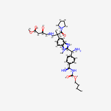 CCCCOC(=O)NC(=N)c1ccc(C(N)c2nc3cc(C(C)(CNCC(=O)CC(=O)OC)C(=O)N4CCCC4)ccc3n2C)cc1